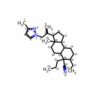 C=C(Cn1ccc(C)n1)C1CCC2C3CCC(CC)C(C#N)(CCC)C3CCC12C